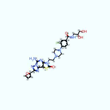 Nc1nc2c(sc(=O)n2CCN2CCN(c3ccc(C(=O)NCC(O)CO)cc3F)CC2)c2nc(-c3ccco3)nn12